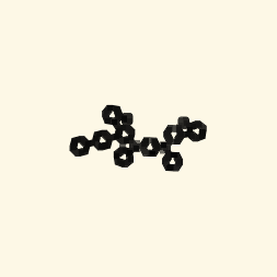 c1ccc(-c2ccc(-c3c4c(cc5c3c3ccccc3n5-c3ccc(N(c5ccccc5)c5ccc6oc7ccccc7c6c5)cc3)oc3ccccc34)cc2)cc1